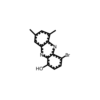 Cc1cc(C)c2nc3c(Br)ccc(O)c3nc2c1